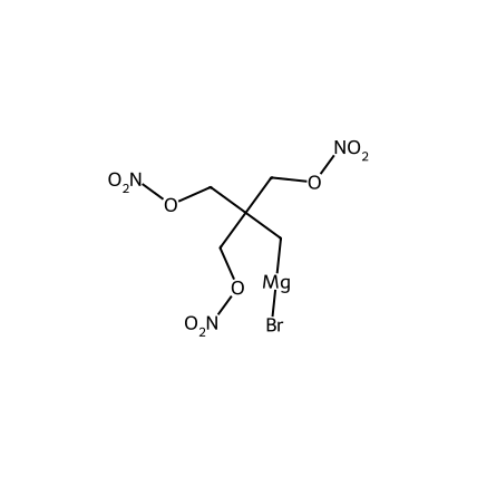 O=[N+]([O-])OCC(CO[N+](=O)[O-])(CO[N+](=O)[O-])[CH2][Mg][Br]